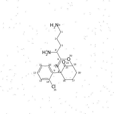 NCCCC(N)C1=NC2(c3ccccc3Cl)CCCC(O1)C2=O